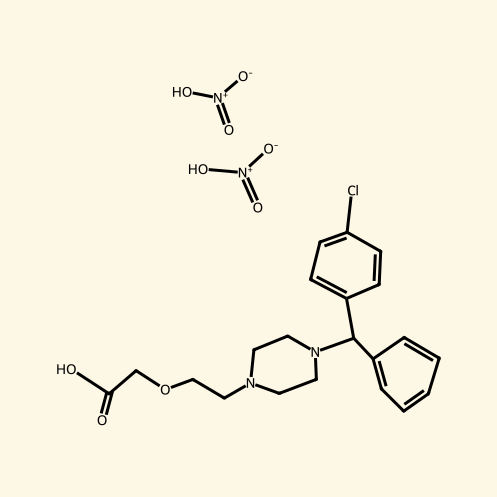 O=C(O)COCCN1CCN(C(c2ccccc2)c2ccc(Cl)cc2)CC1.O=[N+]([O-])O.O=[N+]([O-])O